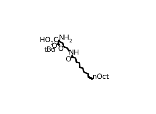 CCCCCCCC/C=C\CCCCCCCC(=O)NCCCC[C@](N)(C(=O)O)C(=O)OC(C)(C)C